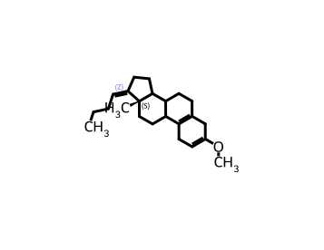 CCC/C=C1/CCC2C3CCC4=C(CC=C(OC)C4)C3CC[C@]12C